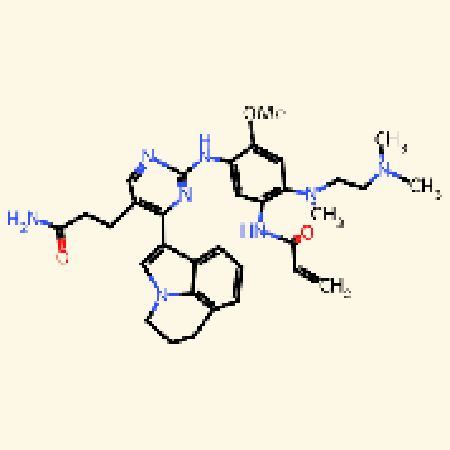 C=CC(=O)Nc1cc(Nc2ncc(CCC(N)=O)c(-c3cn4c5c(cccc35)CCC4)n2)c(OC)cc1N(C)CCN(C)C